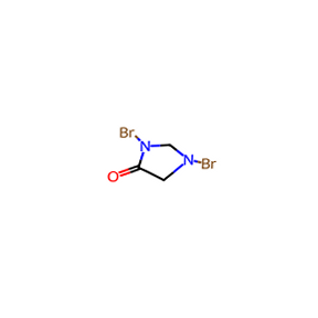 O=C1CN(Br)CN1Br